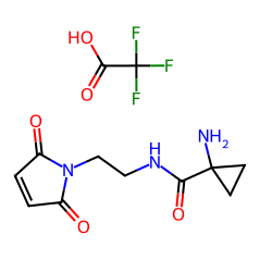 NC1(C(=O)NCCN2C(=O)C=CC2=O)CC1.O=C(O)C(F)(F)F